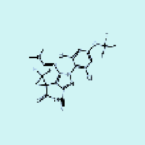 CN(C)C=Nc1c(C2(C(=O)O)CC2(F)F)c(C#N)nn1-c1c(Cl)cc(OC(F)(F)F)cc1Cl